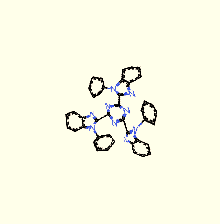 c1ccc(-n2c(-c3nc(-c4nc5ccccc5n4-c4ccccc4)nc(-c4nc5ccccc5n4-c4ccccc4)n3)nc3ccccc32)cc1